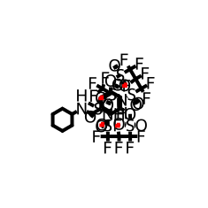 CS(=O)(=O)NS(=O)(=O)C(F)(F)C(F)(F)C(F)(F)S(=O)(=O)Oc1cc(CNC2CCCCC2)cc(OS(=O)(=O)C(F)(F)C(F)(F)C(F)(F)S(=O)(=O)NS(=O)(=O)C(F)(F)F)c1